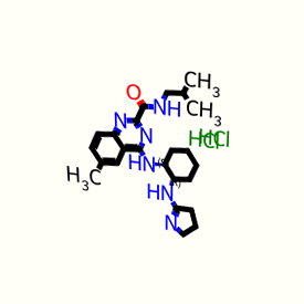 Cc1ccc2nc(C(=O)NCC(C)C)nc(N[C@H]3CCCC[C@H]3NC3=NCCC3)c2c1.Cl.Cl